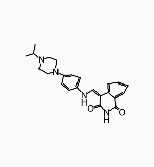 CC(C)N1CCN(c2ccc(NC=C3C(=O)NC(=O)c4ccccc43)cc2)CC1